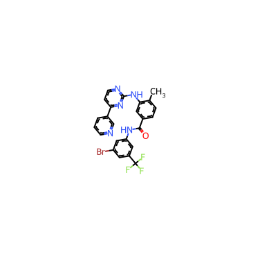 Cc1ccc(C(=O)Nc2cc(Br)cc(C(F)(F)F)c2)cc1Nc1nccc(-c2cccnc2)n1